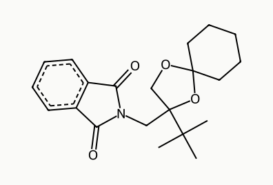 CC(C)(C)C1(CN2C(=O)c3ccccc3C2=O)COC2(CCCCC2)O1